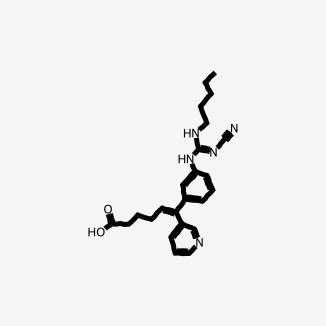 CCCCCNC(=NC#N)Nc1cccc(C(=CCCCC(=O)O)c2cccnc2)c1